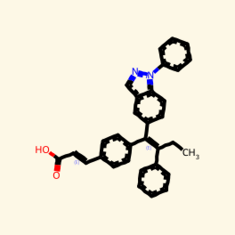 CC/C(=C(/c1ccc(/C=C/C(=O)O)cc1)c1ccc2c(cnn2-c2ccccc2)c1)c1ccccc1